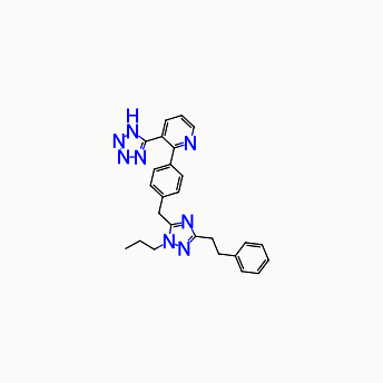 CCCn1nc(CCc2ccccc2)nc1Cc1ccc(-c2ncccc2-c2nnn[nH]2)cc1